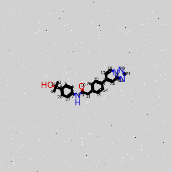 CC(C)(O)c1ccc(NC(=O)Cc2ccc(-c3ccn4ncnc4c3)cc2)cc1